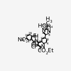 CCOC(=O)c1nc2ccc(-c3cnc(C(C)(O)I)nc3)cc2c(N[C@H](C)c2cc(C#N)ccc2F)c1Cl